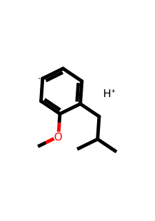 COc1c[c]ccc1CC(C)C.[H+]